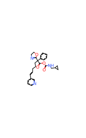 O=C(NCC1CC1)OC(=O)C(CCCC=Cc1cccnc1)(C1=NCCO1)c1ccccc1